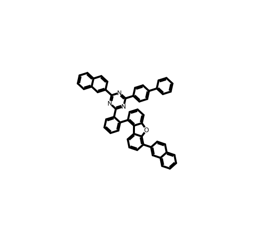 c1ccc(-c2ccc(-c3nc(-c4ccc5ccccc5c4)nc(-c4ccccc4-c4cccc5oc6c(-c7ccc8ccccc8c7)cccc6c45)n3)cc2)cc1